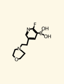 OB(O)c1cc(CCN2CCOCC2)cnc1F